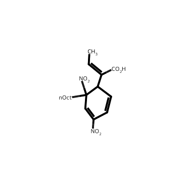 CC=C(C(=O)O)C1C=CC([N+](=O)[O-])=CC1(CCCCCCCC)[N+](=O)[O-]